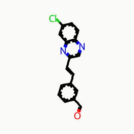 O=Cc1cccc(/C=C/c2cnc3ccc(Cl)cc3n2)c1